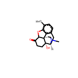 COc1ccc2c3c1OC1C(=O)CC[C@]4(O)[C@H](C2)N(C)CC[C@@]314